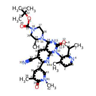 Cc1ccnc(C(C)C)c1-n1c(=O)nc(N2CCN(C(=O)OC(C)(C)C)C[C@@H]2C)c2cc(C#N)c(-c3cc(C)c(=O)n(C)c3)nc21